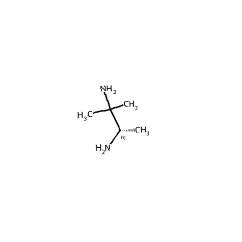 C[C@H](N)C(C)(C)N